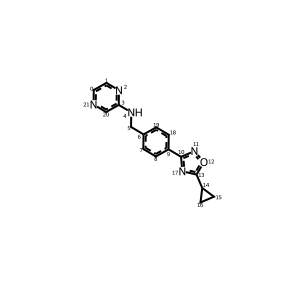 c1cnc(NCc2ccc(-c3noc(C4CC4)n3)cc2)cn1